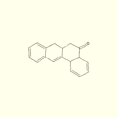 O=C1CC2Cc3ccccc3C=C2C2C=CC=CC12